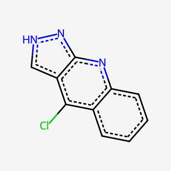 Clc1c2ccccc2nc2n[nH]cc12